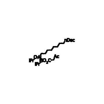 CC(=O)CC(=O)O.CCCCCCCCCCCCCCCCC[CH2][Al]([O]C(C)C)[O]C(C)C